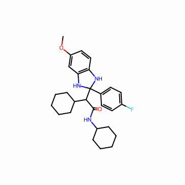 COc1ccc2c(c1)NC(c1ccc(F)cc1)(C(C(=O)NC1CCCCC1)C1CCCCC1)N2